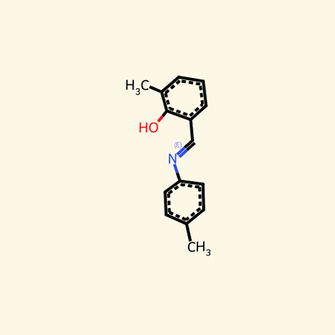 Cc1ccc(/N=C/c2cccc(C)c2O)cc1